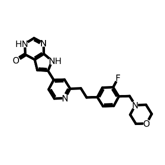 O=c1[nH]cnc2[nH]c(-c3ccnc(CCc4ccc(CN5CCOCC5)c(F)c4)c3)cc12